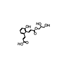 O=C(O)C=Cc1cccc(O)c1C=CC(=O)OCC(O)CO